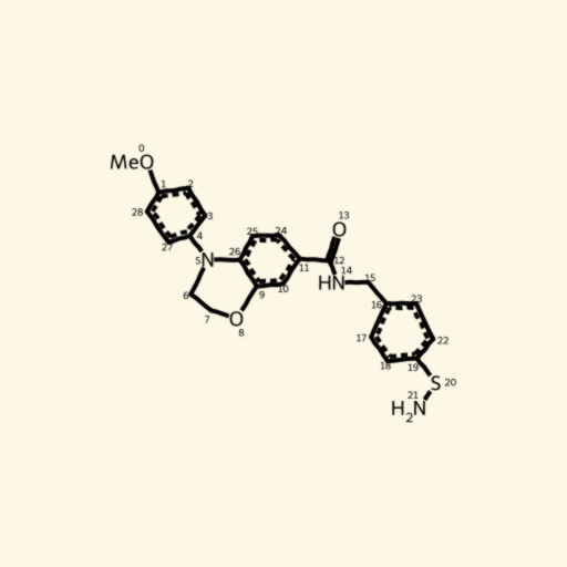 COc1ccc(N2CCOc3cc(C(=O)NCc4ccc(SN)cc4)ccc32)cc1